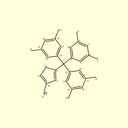 Cc1cc(C)cc(C(C2=CC(C(C)C)=CC2)(c2cc(C)cc(C)c2)c2cc(C)cc(C)c2)c1